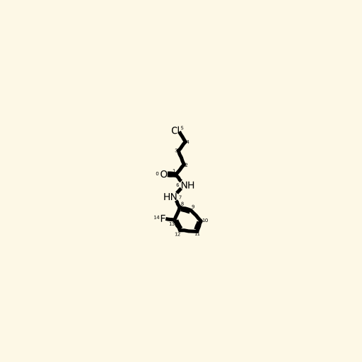 O=C(CCCCl)NNc1ccccc1F